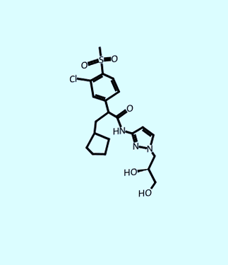 CS(=O)(=O)c1ccc(C(CC2CCCC2)C(=O)Nc2ccn(C[C@H](O)CO)n2)cc1Cl